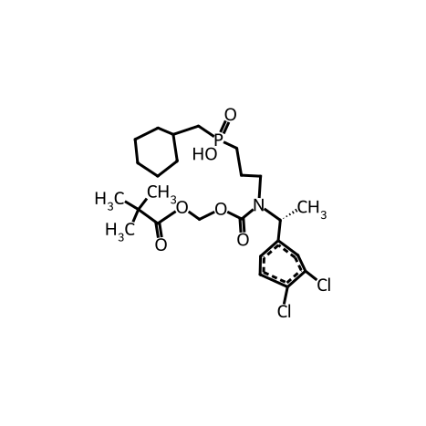 C[C@H](c1ccc(Cl)c(Cl)c1)N(CCCP(=O)(O)CC1CCCCC1)C(=O)OCOC(=O)C(C)(C)C